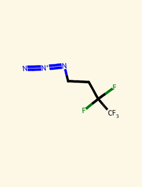 [N-]=[N+]=NCCC(F)(F)C(F)(F)F